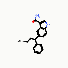 CNCCC(c1ccccc1)c1ccc2[nH]cc(C(N)=O)c2c1